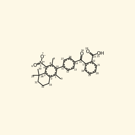 Cc1c2c(c([N+](=O)[O-])c(C)c1-c1ccc(C(=O)c3ccccc3C(=O)O)cc1)C(C)(C)CCC2